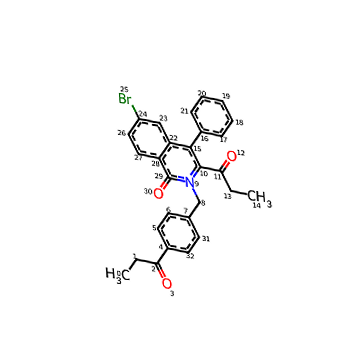 CCC(=O)c1ccc(Cn2c(C(=O)CC)c(-c3ccccc3)c3cc(Br)ccc3c2=O)cc1